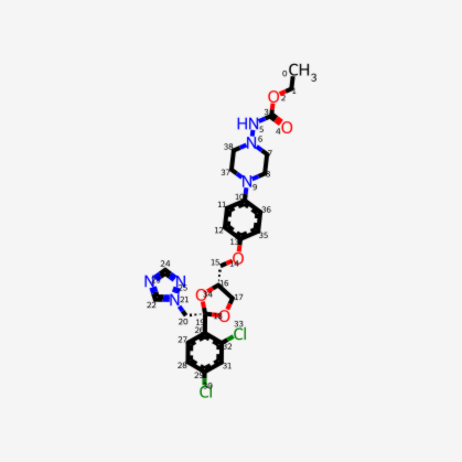 CCOC(=O)NN1CCN(c2ccc(OC[C@@H]3CO[C@@](Cn4cncn4)(c4ccc(Cl)cc4Cl)O3)cc2)CC1